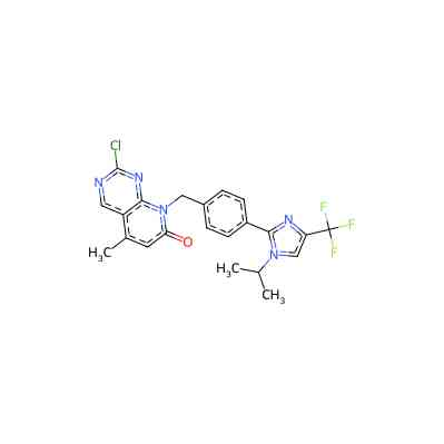 Cc1cc(=O)n(Cc2ccc(-c3nc(C(F)(F)F)cn3C(C)C)cc2)c2nc(Cl)ncc12